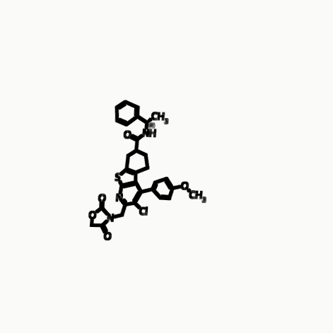 COc1ccc(-c2c(Cl)c(CN3C(=O)COC3=O)nc3sc4c(c23)CCC(C(=O)N[C@H](C)c2ccccc2)C4)cc1